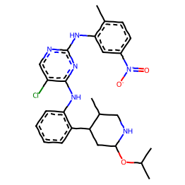 Cc1ccc([N+](=O)[O-])cc1Nc1ncc(Cl)c(Nc2ccccc2C2CC(OC(C)C)NCC2C)n1